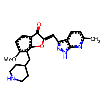 COc1ccc2c(c1CC1CCNCC1)O/C(=C\c1n[nH]c3nc(C)ccc13)C2=O